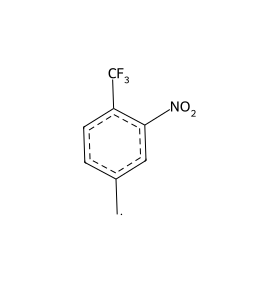 [CH2]c1ccc(C(F)(F)F)c([N+](=O)[O-])c1